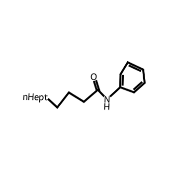 CCCCCCCCCCC(=O)Nc1ccccc1